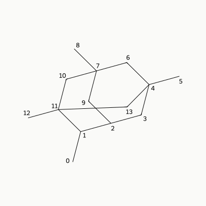 CC1C2CC3(C)CC(C)(C2)CC1(C)C3